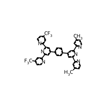 Cc1ccnc(-c2cc(-c3ccc(-c4cc(-c5cc(C(F)(F)F)ccn5)nc(-c5cc(C(F)(F)F)ccn5)c4)cc3)cc(-c3cc(C)ccn3)n2)c1